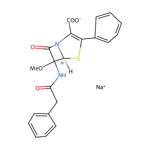 COC1(NC(=O)Cc2ccccc2)C(=O)N2C(C(=O)[O-])=C(c3ccccc3)S[C@H]21.[Na+]